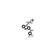 CC(C)(C)OC(=O)NCCN1c2ccccc2C(C)(C)c2cc(Nc3ccc(Cl)c(Cl)c3)ccc21